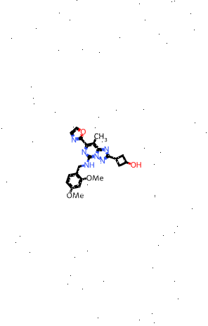 COc1ccc(CNc2nc(-c3ncco3)c(C)c3nc(C4CC(O)C4)nn23)c(OC)c1